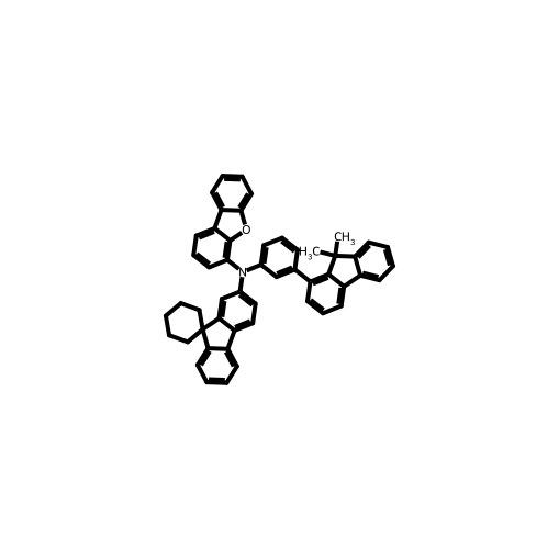 CC1(C)c2ccccc2-c2cccc(-c3cccc(N(c4ccc5c(c4)C4(CCCCC4)c4ccccc4-5)c4cccc5c4oc4ccccc45)c3)c21